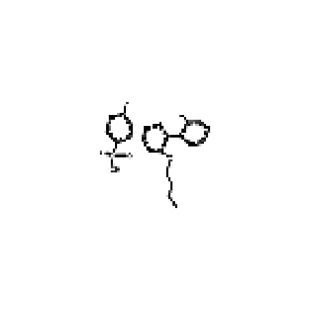 CCCCOc1ccccc1-c1ccccc1I.Cc1ccc(S(=O)(=O)O)cc1